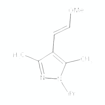 COC=Cc1c(C)nn(C(C)C)c1C